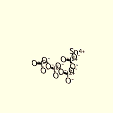 [O-][I+2]([O-])[O-].[O-][I+2]([O-])[O-].[O-][I+2]([O-])[O-].[O-][I+2]([O-])[O-].[Sn+4]